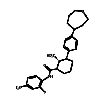 O=C(O)[C@@H]1[C@@H](c2ccc([C@H]3CCCOCC3)cc2)CCC[C@H]1C(=O)Nc1ccc(C(F)(F)F)cc1F